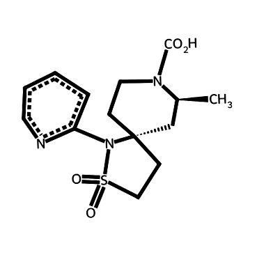 C[C@H]1C[C@]2(CCN1C(=O)O)CCS(=O)(=O)N2c1ccccn1